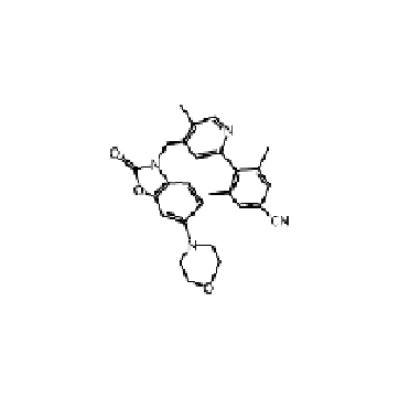 Cc1cnc(-c2c(C)cc(C#N)cc2C)cc1Cn1c(=O)oc2cc(N3CCOCC3)ccc21